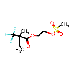 CCC(C)(C(=O)OCCOS(C)(=O)=O)C(F)(F)F